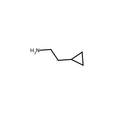 NC[CH]C1CC1